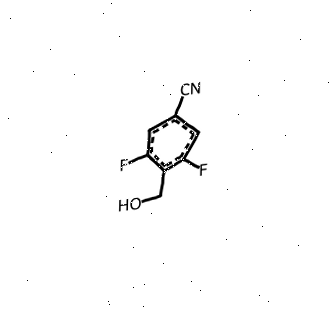 N#Cc1cc(F)c(CO)c(F)c1